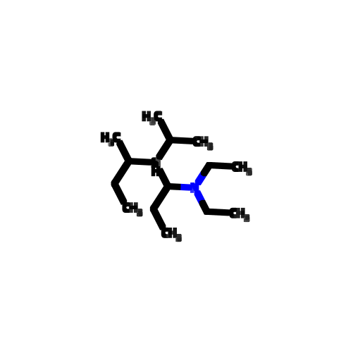 CCC(C)[SiH](C(C)C)C(CC)N(CC)CC